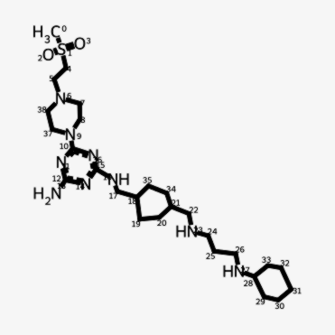 CS(=O)(=O)CCN1CCN(c2nc(N)nc(NCC3CCC(CNCCCNC4CCCCC4)CC3)n2)CC1